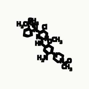 COc1cc(N2CCN(C(C)=O)CC2)c(N)cc1Nc1ncc(Cl)c(Nc2ccccc2P(C)(C)=O)n1